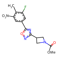 COC(=O)N1CC(c2noc(-c3cc(F)c(C)c([N+](=O)[O-])c3)n2)C1